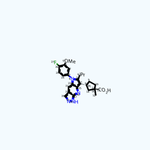 COc1cc(-n2c(C(C)C)c([C@@H]3CC[C@@](C)(C(=O)O)C3)c3nc4[nH]ncc4cc32)ccc1F